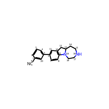 N#Cc1cccc(-c2ccc3c(c2)CC2CCNCCN32)c1